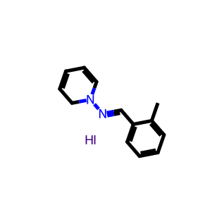 Cc1ccccc1C=NN1C=CC=CC1.I